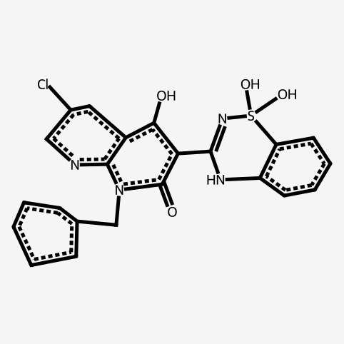 O=c1c(C2=NS(O)(O)c3ccccc3N2)c(O)c2cc(Cl)cnc2n1Cc1ccccc1